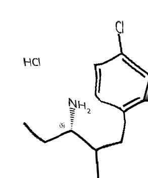 CC[C@H](N)C(C)Cc1ccc(Cl)cc1.Cl